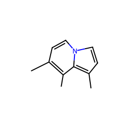 Cc1ccn2ccc(C)c2c1C